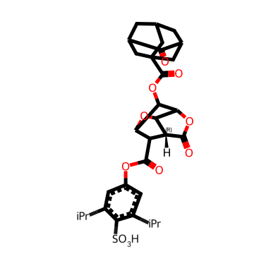 CC(C)c1cc(OC(=O)C2C3OC4C(OC(=O)[C@@H]42)C3OC(=O)C23CC4CC(C2)C(=O)C(C4)C3)cc(C(C)C)c1S(=O)(=O)O